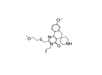 C=CCn1c(CSCCOC)nc2c(c1=O)C1(CCNCC1)Cc1cc(OC)ccc1-2